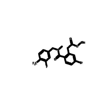 CN(Cc1ccc(C(F)(F)F)c(F)c1)C(=O)c1ccc(Br)cc1CC(=O)OC(C)(C)C